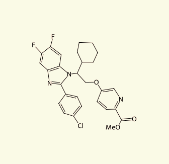 COC(=O)c1ccc(OCC(C2CCCCC2)n2c(-c3ccc(Cl)cc3)nc3cc(F)c(F)cc32)cn1